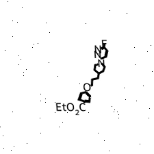 CCOC(=O)c1ccc(OCCCC2CCN(c3ccc(F)nn3)CC2)cc1